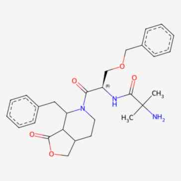 CC(C)(N)C(=O)N[C@H](COCc1ccccc1)C(=O)N1CCC2COC(=O)C2C1Cc1ccccc1